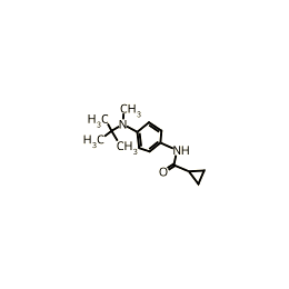 CN(c1ccc(NC(=O)C2CC2)cc1)C(C)(C)C